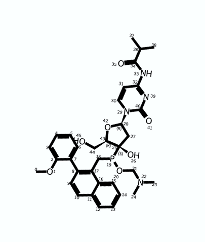 COc1ccccc1-c1ccc2ccccc2c1CP(OCN(C)C)[C@@]1(O)C[C@H](n2ccc(NC(=O)C(C)C)nc2=O)O[C@@H]1CO